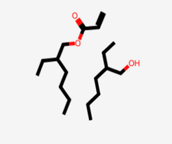 C=CC(=O)OCC(CC)CCCC.CCCCC(CC)CO